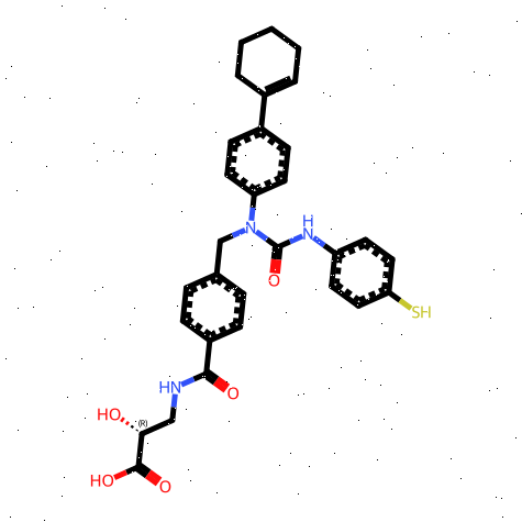 O=C(NC[C@@H](O)C(=O)O)c1ccc(CN(C(=O)Nc2ccc(S)cc2)c2ccc(C3=CCCCC3)cc2)cc1